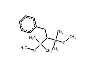 CO[Si](C)(C)C(Cc1ccccc1)[Si](C)(C)OC